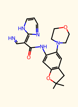 CC1(C)Cc2cc(N3CCOCC3)c(NC(=O)/C(C=N)=C3\N=CC=CN3)cc2O1